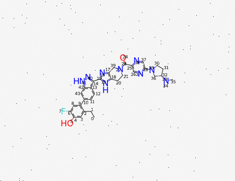 CCc1cc(O)c(F)cc1-c1ccc2c(-c3nc4c([nH]3)CCN(C(=O)c3cnc(N5CCC(N(C)C)C5)cn3)C4)n[nH]c2c1